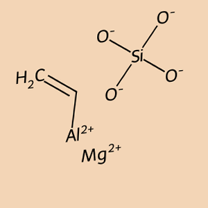 C=[CH][Al+2].[Mg+2].[O-][Si]([O-])([O-])[O-]